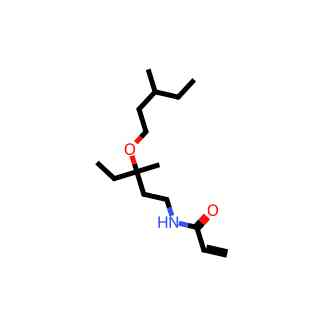 C=CC(=O)NCCC(C)(CC)OCCC(C)CC